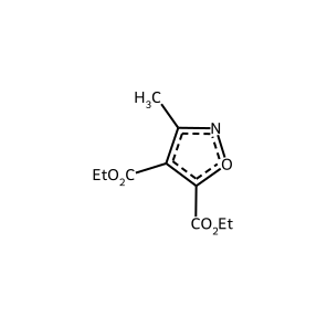 CCOC(=O)c1onc(C)c1C(=O)OCC